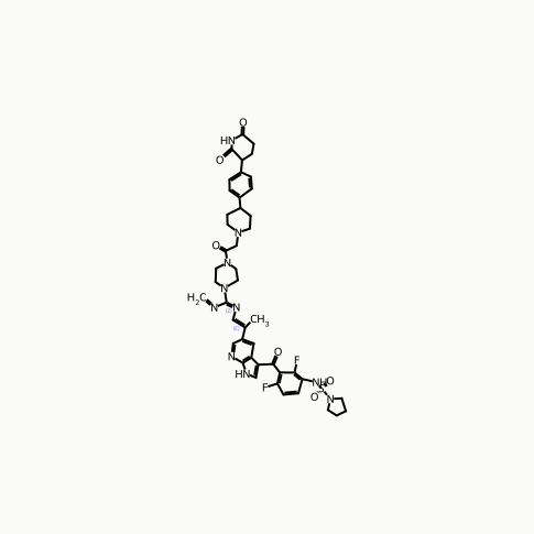 C=N/C(=N\C=C(/C)c1cnc2[nH]cc(C(=O)c3c(F)ccc(NS(=O)(=O)N4CCCC4)c3F)c2c1)N1CCN(C(=O)CN2CCC(c3ccc(C4CCC(=O)NC4=O)cc3)CC2)CC1